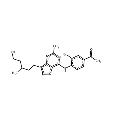 CCCC(C)CCn1nnc2c(Nc3ccc(C(C)=O)cc3Br)nc(C)nc21